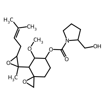 COC1C(OC(=O)N2CCCC2CO)CCC2(CO2)C1C1(C)OC1CC=C(C)C